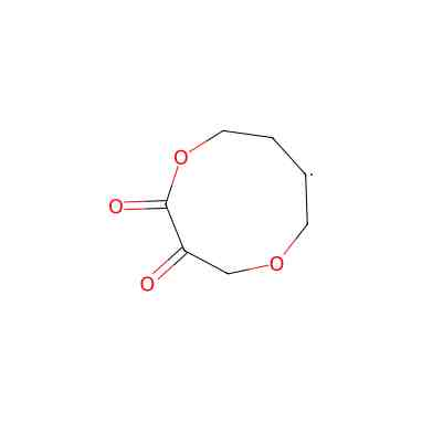 O=C1COC[CH]CCOC1=O